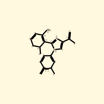 C=C(Br)/C=C\C(=C/C(C)F)n1cc(C(=C)C)nc1C1=C(C(C)CC)C=CCC1C